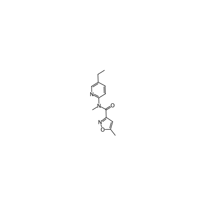 CCc1ccc(N(C)C(=O)c2cc(C)on2)nc1